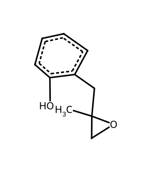 CC1(Cc2ccccc2O)CO1